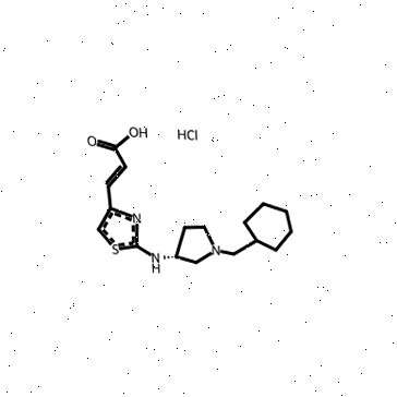 Cl.O=C(O)C=Cc1csc(N[C@@H]2CCN(CC3CCCCC3)C2)n1